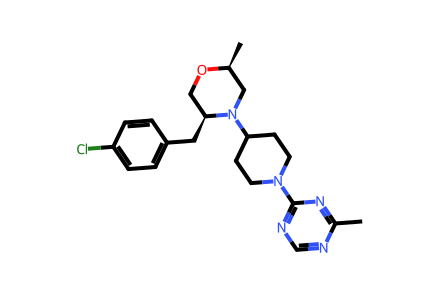 Cc1ncnc(N2CCC(N3C[C@H](C)OC[C@@H]3Cc3ccc(Cl)cc3)CC2)n1